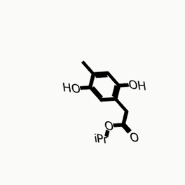 Cc1cc(O)c(CC(=O)OC(C)C)cc1O